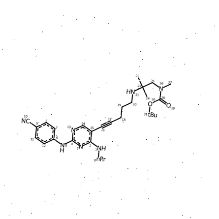 CCCNc1nc(Nc2ccc(C#N)cc2)ncc1C#CCCCNC(C)(C)CN(C)C(=O)OC(C)(C)C